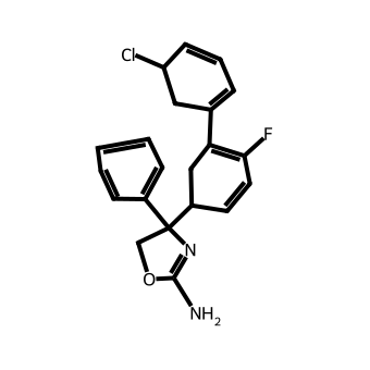 NC1=NC(c2ccccc2)(C2C=CC(F)=C(C3=CC=CC(Cl)C3)C2)CO1